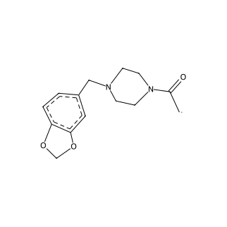 [CH2]C(=O)N1CCN(Cc2ccc3c(c2)OCO3)CC1